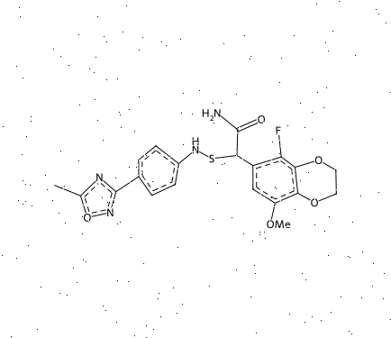 COc1cc(C(SNc2ccc(-c3noc(C)n3)cc2)C(N)=O)c(F)c2c1OCCO2